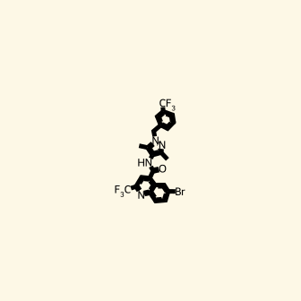 Cc1nn(Cc2cccc(C(F)(F)F)c2)c(C)c1NC(=O)c1cc(C(F)(F)F)nc2ccc(Br)cc12